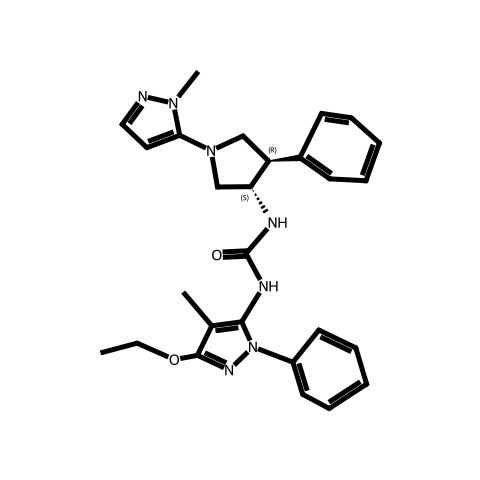 CCOc1nn(-c2ccccc2)c(NC(=O)N[C@@H]2CN(c3ccnn3C)C[C@H]2c2ccccc2)c1C